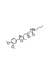 CCCCNC(=O)C[S+]([O-])Cc1nc(-c2ccc(OC)c(OC)c2)oc1C